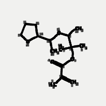 C=C(C)C(=O)OC(C)(C)C(C)OC(C)C1CCCO1